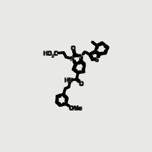 COc1cccc(CCNC(=O)c2ccc3c(c2)n(CCC(=O)O)c(=O)n3Cc2csc3cccc(C)c23)c1